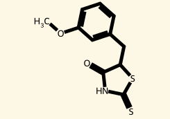 COc1cccc(CC2SC(=S)NC2=O)c1